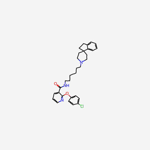 O=C(NCCCCCCN1CCC2(CCc3ccccc32)CC1)c1cccnc1Oc1ccc(Cl)cc1